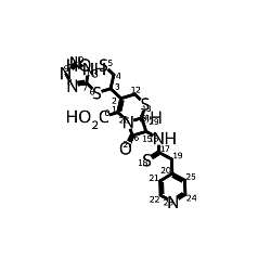 O=C(O)C1=C(C(CS(=O)(=O)O)Sc2nnn[nH]2)CS[C@H]2C(NC(=S)Cc3ccncc3)C(=O)N12